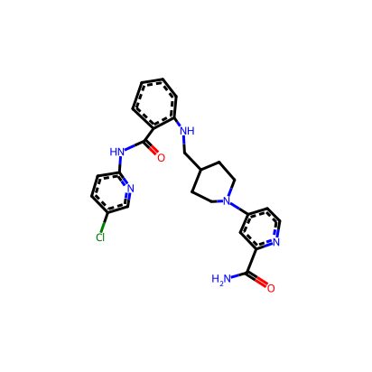 NC(=O)c1cc(N2CCC(CNc3ccccc3C(=O)Nc3ccc(Cl)cn3)CC2)ccn1